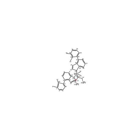 Cc1cccc(-c2cccc3c2C=C[CH]3[Hf]([CH3])([CH3])(=[C](CC(C)C)CC(C)C)[CH]2C=Cc3c(-c4cccc(C)c4C)cccc32)c1C